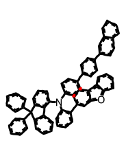 c1ccc(C2(c3ccccc3)c3ccccc3-c3c(N(c4ccc(-c5ccc(-c6ccc7ccccc7c6)cc5)cc4)c4ccccc4-c4ccc5c(c4)oc4ccccc45)cccc32)cc1